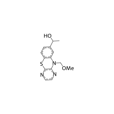 COCN1c2cc(C(C)O)ccc2Sc2nccnc21